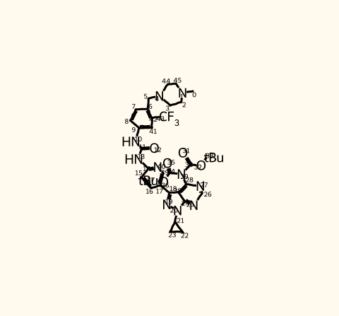 CN1CCN(Cc2ccc(NC(=O)Nc3ccc(-c4nn(C5CC5)c5ncnc(N(C(=O)OC(C)(C)C)C(=O)OC(C)(C)C)c45)cn3)cc2C(F)(F)F)CC1